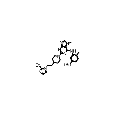 CCc1nccn1CCC1CCN(c2nc(Nc3cc(C(C)(C)C)ccc3C)c3c(ncn3C)n2)CC1